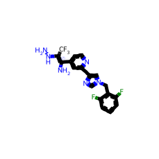 NN/C(=C(\N)c1ccnc(-c2cn(Cc3c(F)cccc3F)cn2)c1)C(F)(F)F